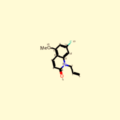 C=CCn1c(=O)ccc2c(OC)cc(F)cc21